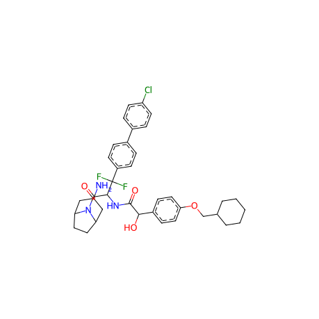 NC1CC2CCC(C1)N2C(=O)C(NC(=O)C(O)c1ccc(OCC2CCCCC2)cc1)C(F)(F)c1ccc(-c2ccc(Cl)cc2)cc1